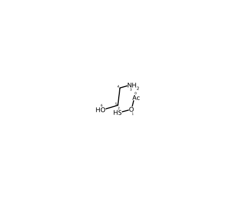 CC(=O)OS.NCCO